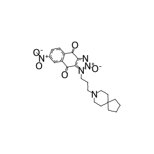 O=C1c2ccc([N+](=O)[O-])cc2C(=O)c2c1n[n+]([O-])n2CCCN1CCC2(CCCC2)CC1